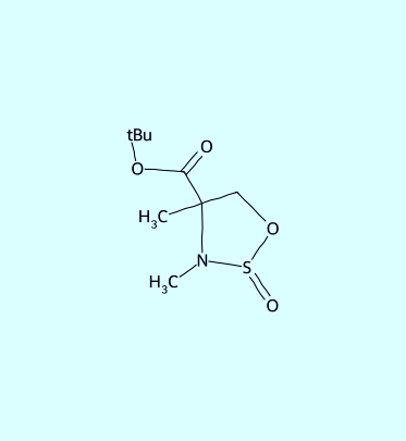 CN1S(=O)OCC1(C)C(=O)OC(C)(C)C